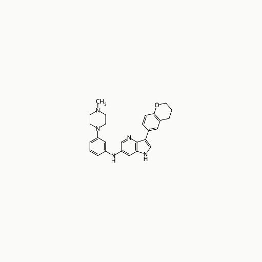 CN1CCN(c2cccc(Nc3cnc4c(-c5ccc6c(c5)CCCO6)c[nH]c4c3)c2)CC1